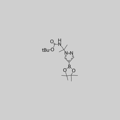 CC(C)(C)OC(=O)NC(C)(C)n1cc(B2OC(C)(C)C(C)(C)O2)cn1